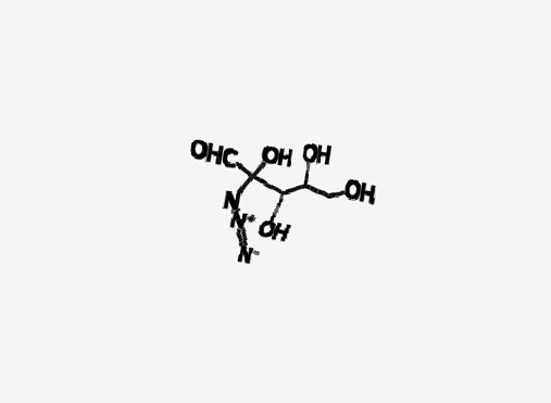 [N-]=[N+]=NC(O)(C=O)C(O)C(O)CO